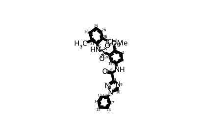 COc1ccc(NC(=O)c2ncn(-c3ccccc3)n2)cc1S(=O)(=O)Nc1c(C)cccc1C